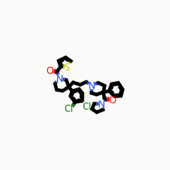 O=C(c1cccs1)N1CCCC(CCCN2CCC(C(=O)N3CCCC3)(c3ccccc3)CC2)(c2ccc(Cl)c(Cl)c2)C1